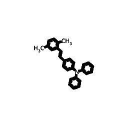 Cc1ccc(C)c(/C=C/c2ccc(N(c3ccccc3)c3ccccc3)cc2)c1